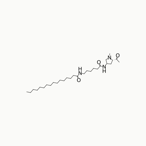 CCCCCCCCCCCCCCCC(=O)NCCCCCC(=O)NC1C[C@@H](C(C)=O)N(C)C1